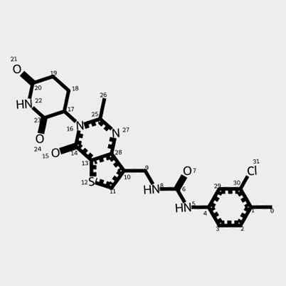 Cc1ccc(NC(=O)NCc2csc3c(=O)n(C4CCC(=O)NC4=O)c(C)nc23)cc1Cl